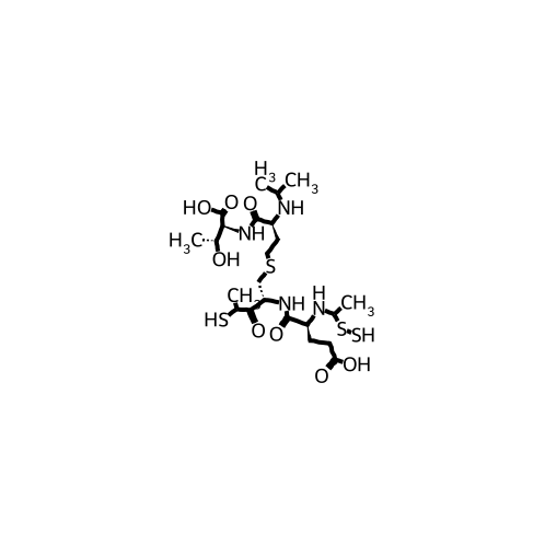 CC(C)N[C@@H](CCSC[C@H](NC(=O)[C@H](CCC(=O)O)NC(C)SS)C(=O)C(C)S)C(=O)N[C@H](C(=O)O)[C@@H](C)O